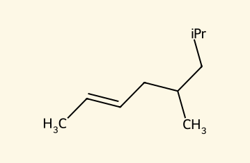 [CH2]C(C)CC(C)CC=CC